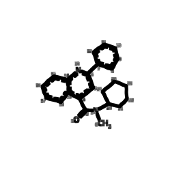 CN(C(=O)c1cc(-c2ccccc2)nc2ccccc12)C1CCCCC1